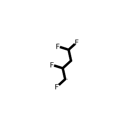 F[CH]C(F)CC(F)F